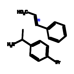 CC(C)c1ccc(C(C)N)cc1.O=C(O)/C=C/c1ccccc1